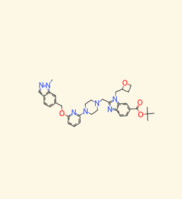 Cn1ncc2ccc(COc3cccc(N4CCN(Cc5nc6ccc(C(=O)OC(C)(C)C)cc6n5CC5CCO5)CC4)n3)cc21